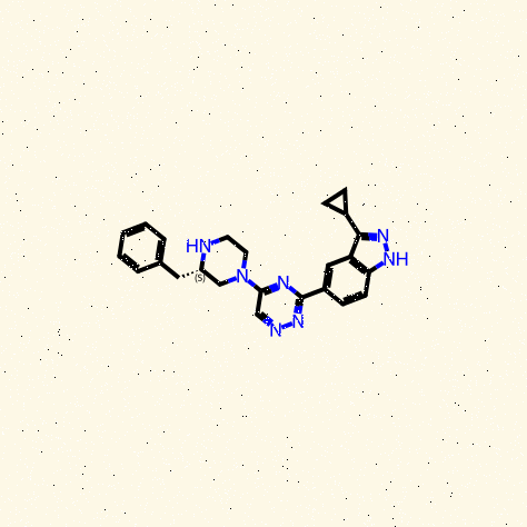 c1ccc(C[C@H]2CN(c3cnnc(-c4ccc5[nH]nc(C6CC6)c5c4)n3)CCN2)cc1